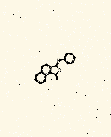 C=C1O/C(=N\c2ccccc2)c2ccc3ccccc3c21